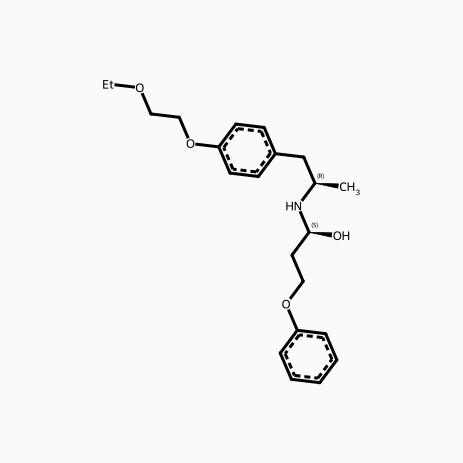 CCOCCOc1ccc(C[C@@H](C)N[C@@H](O)CCOc2ccccc2)cc1